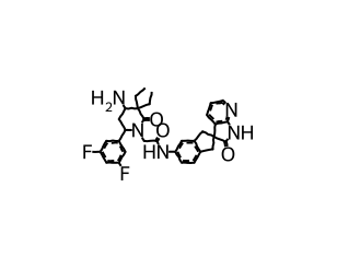 CCC1(CC)C(=O)N(CC(=O)Nc2ccc3c(c2)CC2(C3)C(=O)Nc3ncccc32)C(c2cc(F)cc(F)c2)CC1N